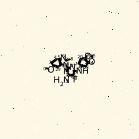 COc1ccc2nc(C)n(-c3nc(N)c(F)c(Nc4ccc5c(c4)OCO5)n3)c2c1